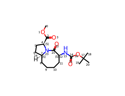 COC(=O)[C@@H]1CC[C@@H]2CCCC[C@H](NC(=O)OC(C)(C)C)C(=O)N21